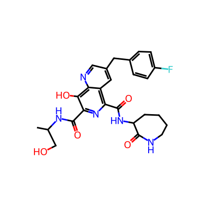 CC(CO)NC(=O)c1nc(C(=O)NC2CCCCNC2=O)c2cc(Cc3ccc(F)cc3)cnc2c1O